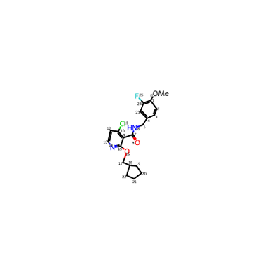 COc1ccc(CNC(=O)c2c(Cl)ccnc2OCC2CCCC2)cc1F